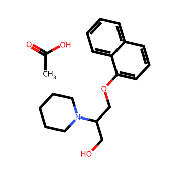 CC(=O)O.OCC(COc1cccc2ccccc12)N1CCCCC1